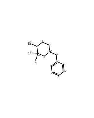 CCC1CCN(Cc2ccccc2)CC1(F)F